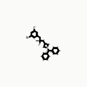 C[C@@](F)(Cc1cc(F)cc(Br)c1)CC1CN(C(c2ccccc2)c2ccccc2)C1